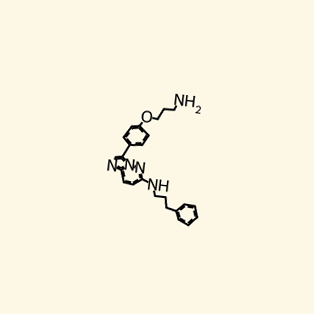 NCCCOc1ccc(-c2cnc3ccc(NCCCc4ccccc4)nn23)cc1